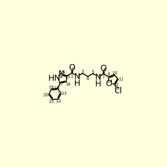 O=C(NCCCNC(=O)c1ccc(Cl)o1)c1cc(-c2ccccc2)[nH]n1